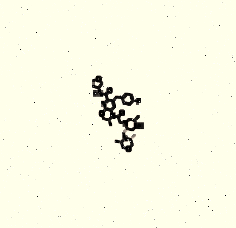 C[C@@H]1CN(CC(=O)N2c3cc(Cc4ccc(F)cc4)c(C(=O)N[C@H]4CCOC4)nc3OC[C@@H]2C)[C@@H](CN2[C@H](C)COC[C@H]2C)CN1